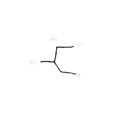 Br.CC(CN)CO